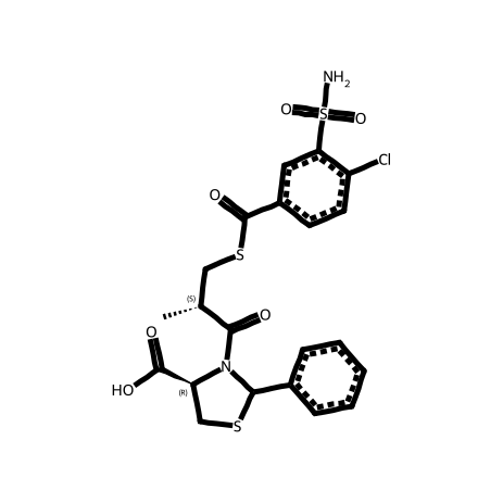 C[C@H](CSC(=O)c1ccc(Cl)c(S(N)(=O)=O)c1)C(=O)N1C(c2ccccc2)SC[C@H]1C(=O)O